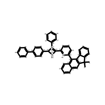 CC1(C)c2ccccc2-c2c1cc1ccccc1c2-c1cccc(C2=[N+](c3ccccc3)C(c3ccc(-c4ccccc4)cc3)N2)n1